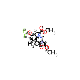 CCOC(=O)/C=C(/Cn1c(C(=O)OC)cc2c(OC(F)F)cccc21)C(C)(C)C